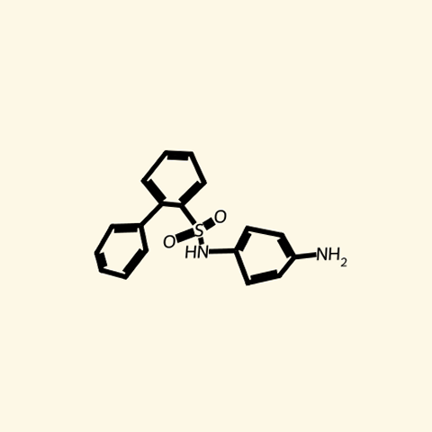 Nc1ccc(NS(=O)(=O)c2ccccc2-c2ccccc2)cc1